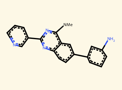 CNc1nc(-c2cccnc2)nc2ccc(-c3cccc(N)c3)cc12